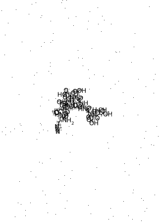 CNC(CC(=O)O)C(=O)NC(CC(=O)O)C(=O)NCC(=O)NCC(=O)NCC(=O)NC(CC(=O)O)C(=O)NC(CC(=O)O)C(=O)NC(CC(=O)O)C(=O)NC(Cc1ccccc1)C(=O)NC(Cc1ccccc1)C(=O)NC(CCCCN=[N+]=[N-])C(N)=O